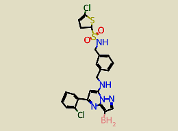 Bc1cnn2c(NCc3cccc(CNS(=O)(=O)C4CC=C(Cl)S4)c3)cc(-c3ccccc3Cl)nc12